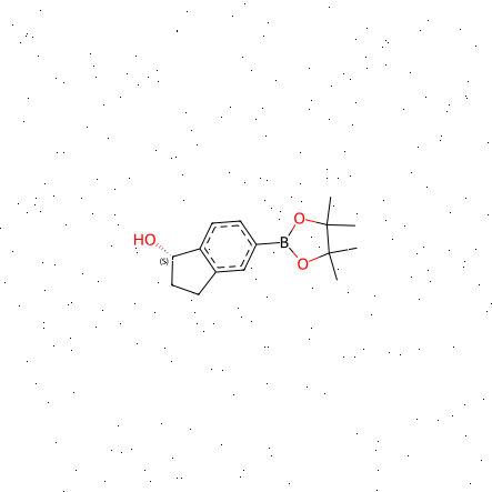 CC1(C)OB(c2ccc3c(c2)CC[C@@H]3O)OC1(C)C